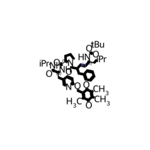 CC1=C(C)C(=O)C(COc2ccc(C[C@H](NC(=O)[C@@H]3CCCN3C(=O)C(/C=C/[C@H](CC(C)C)NC(=O)OC(C)(C)C)Cc3ccccc3)C(=O)NC(C)C)cn2)=C(C)C1=O